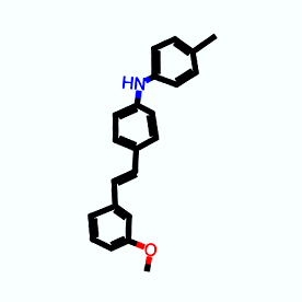 COc1cccc(/C=C/c2ccc(Nc3ccc(C)cc3)cc2)c1